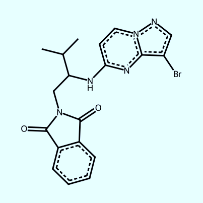 CC(C)C(CN1C(=O)c2ccccc2C1=O)Nc1ccn2ncc(Br)c2n1